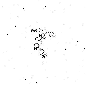 COc1ccc(N2CCOCC2)c2sc(NC(=O)c3ccnc(N4CCS(=O)(=O)CC4)c3)nc12